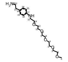 COCCOCCOCCOCCOCCNc1ccc(CCN)cc1